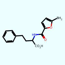 Bc1ccc(C(=O)NC(CCc2ccccc2)C(=O)O)o1